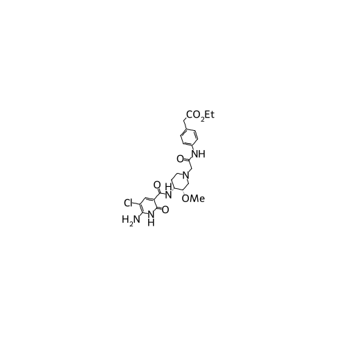 CCOC(=O)Cc1ccc(NC(=O)CN2CC[C@@H](NC(=O)c3cc(Cl)c(N)[nH]c3=O)[C@@H](OC)C2)cc1